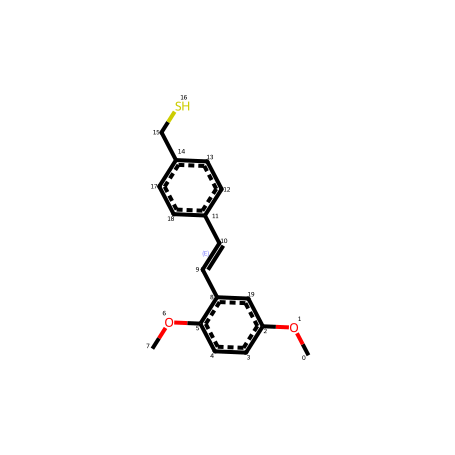 COc1ccc(OC)c(/C=C/c2ccc(CS)cc2)c1